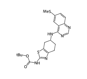 CSc1ccc2ncnc(NC3CCc4nc(NC(=O)OC(C)(C)C)sc4C3)c2c1